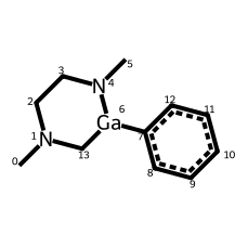 CN1CC[N](C)[Ga]([c]2ccccc2)[CH2]1